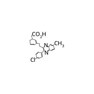 Cc1ccc2nc(-c3ccc(Cl)cc3)c(CCC3=CC(CC(=O)O)CC=C3)nc2c1